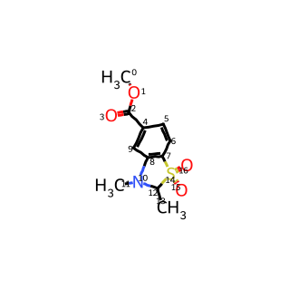 COC(=O)c1ccc2c(c1)N(C)C(C)S2(=O)=O